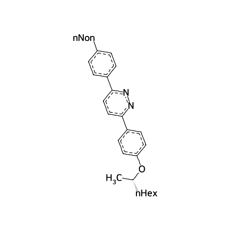 CCCCCCCCCc1ccc(-c2ccc(-c3ccc(O[C@@H](C)CCCCCC)cc3)nn2)cc1